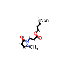 CCCCCCCCCCCCOC(=O)CCN1C(=O)CCN1C